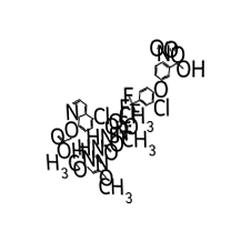 COc1cc(OC)nc(NC(=O)NS(=O)(=O)N(C)S(C)(=O)=O)n1.O=C(O)COc1ccc(Cl)c2cccnc12.O=C(O)c1cc(Oc2ccc(C(F)(F)F)cc2Cl)ccc1[N+](=O)[O-]